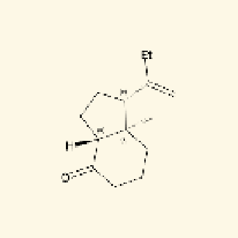 C=C(CC)[C@H]1CC[C@H]2C(=O)CCC[C@]12C